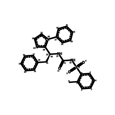 Cc1ccccc1S(=O)(=O)NC(=O)N[C@@H](Cc1ccccc1)c1nccn1-c1ccccc1